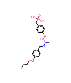 CCCCOc1ccc(/C=N/N(C)POc2ccc(CP(=O)(O)O)cc2)cc1